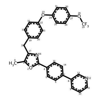 Cc1oc(-c2ccc(-c3cccnc3)cc2)nc1Cc1ccc(Oc2ccc(OC(F)(F)F)cc2)cc1